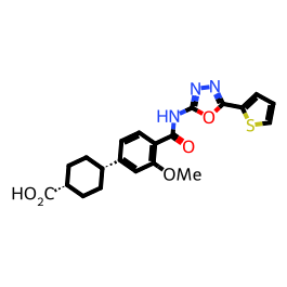 COc1cc([C@H]2CC[C@@H](C(=O)O)CC2)ccc1C(=O)Nc1nnc(-c2cccs2)o1